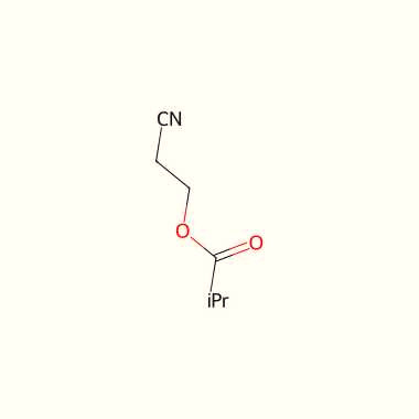 CC(C)C(=O)OCCC#N